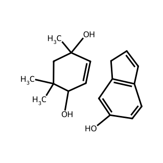 CC1(O)C=CC(O)C(C)(C)C1.Oc1ccc2c(c1)CC=C2